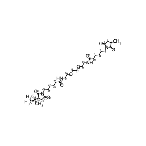 CC1CC(=O)N(CCCCCC(=O)NCCOCCOCCNC(=O)CCCCCN2C(=O)CC(C(C)(C)C)C2=O)C1=O